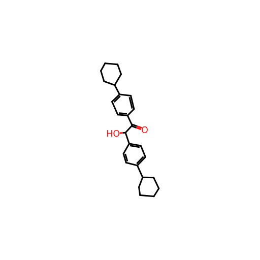 O=C(c1ccc(C2CCCCC2)cc1)C(O)c1ccc(C2CCCCC2)cc1